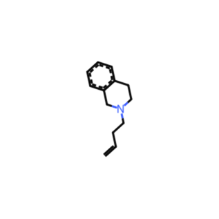 C=CCCN1CCc2ccccc2C1